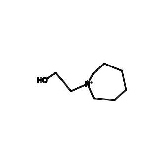 OCC[N+]1CCCCCC1